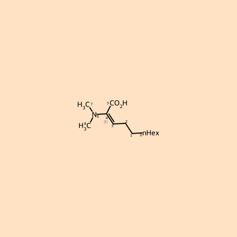 CCCCCCCC/C=C(\C(=O)O)N(C)C